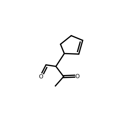 CC(=O)C(C=O)C1C=CCC1